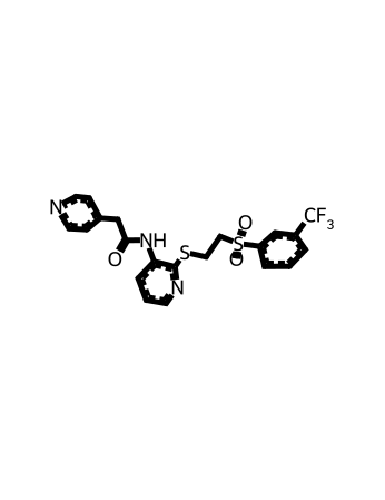 O=C(Cc1ccncc1)Nc1cccnc1SCCS(=O)(=O)c1cccc(C(F)(F)F)c1